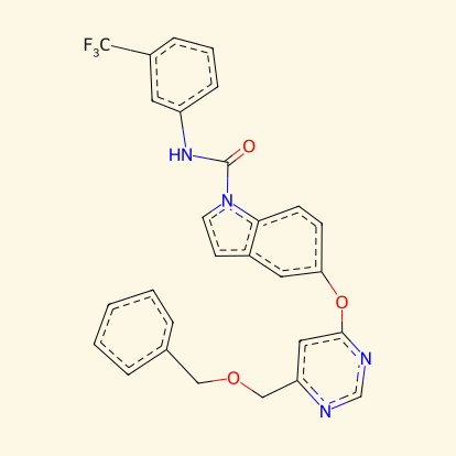 O=C(Nc1cccc(C(F)(F)F)c1)n1ccc2cc(Oc3cc(COCc4ccccc4)ncn3)ccc21